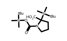 CC(C)(C)[Si](C)(C)OC(=O)N1CCCC1(C(=O)O)[Si](C)(C)C(C)(C)C